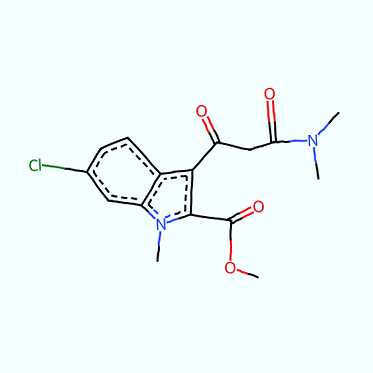 COC(=O)c1c(C(=O)CC(=O)N(C)C)c2ccc(Cl)cc2n1C